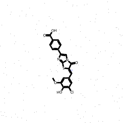 COc1cc(/C=c2\sc3nc(-c4ccc(C(=O)O)cc4)cn3c2=O)cc(Cl)c1O